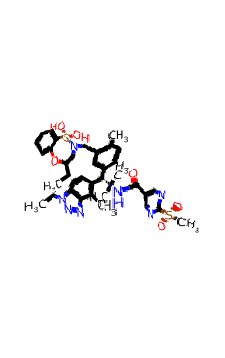 CCC1CN(Cc2cc([C@@H](c3ccc4c(nnn4CC)c3C)C(C)(C)NC(=O)c3cnc(S(C)(=O)=O)nc3)ccc2C)S(O)(O)c2ccccc2O1